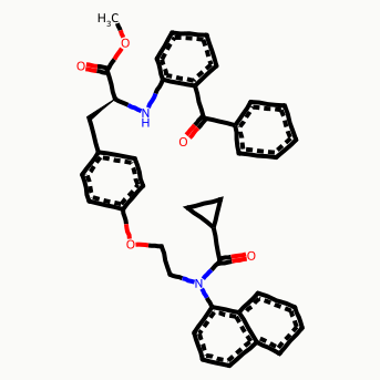 COC(=O)[C@H](Cc1ccc(OCCN(C(=O)C2CC2)c2cccc3ccccc23)cc1)Nc1ccccc1C(=O)c1ccccc1